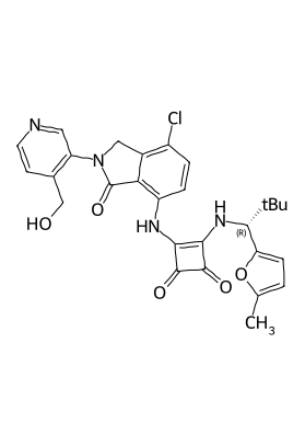 Cc1ccc([C@H](Nc2c(Nc3ccc(Cl)c4c3C(=O)N(c3cnccc3CO)C4)c(=O)c2=O)C(C)(C)C)o1